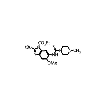 CCOC(=O)n1c(C(C)(C)C)nc2cc(OC)c(NC(=S)N3CCN(C)CC3)cc21